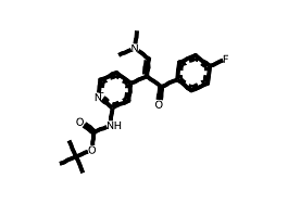 CN(C)C=C(C(=O)c1ccc(F)cc1)c1ccnc(NC(=O)OC(C)(C)C)c1